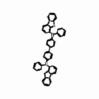 c1ccc(N(c2ccc(-c3ccc(N(c4ccccc4)c4cccc5c4sc4ccccc45)cc3)cc2)c2cccc3c2Cc2ccccc2-3)cc1